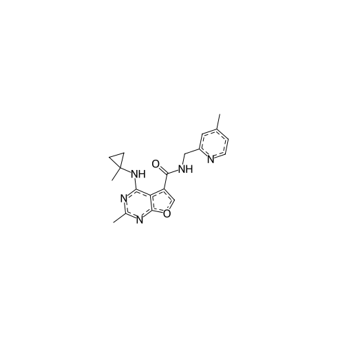 Cc1ccnc(CNC(=O)c2coc3nc(C)nc(NC4(C)CC4)c23)c1